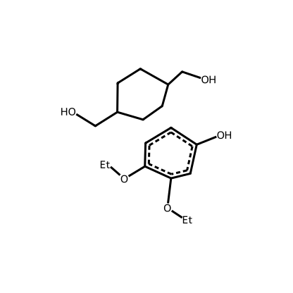 CCOc1ccc(O)cc1OCC.OCC1CCC(CO)CC1